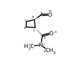 CN(C)C(=O)[C@@H]1CC[C@H]1C=O